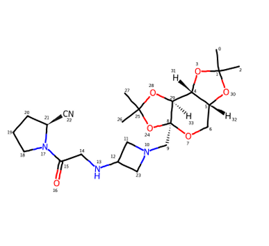 CC1(C)O[C@@H]2[C@@H](CO[C@@]3(CN4CC(NCC(=O)N5CCC[C@H]5C#N)C4)OC(C)(C)O[C@@H]23)O1